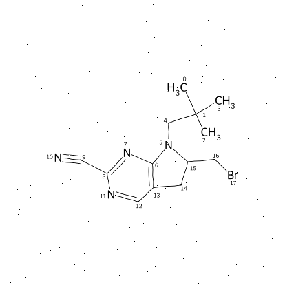 CC(C)(C)CN1c2nc(C#N)ncc2CC1CBr